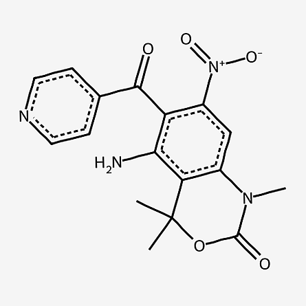 CN1C(=O)OC(C)(C)c2c1cc([N+](=O)[O-])c(C(=O)c1ccncc1)c2N